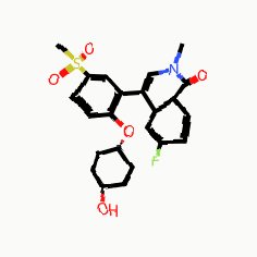 CN1C=C(c2cc(S(C)(=O)=O)ccc2O[C@H]2CC[C@H](O)CC2)C2C=C(F)C=CC2C1=O